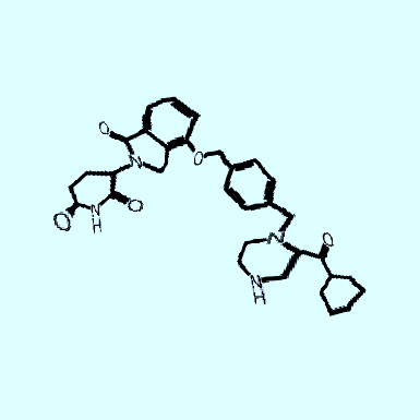 O=C1CCC(N2Cc3c(OCc4ccc(CN5CCNCC5C(=O)C5CCCCC5)cc4)cccc3C2=O)C(=O)N1